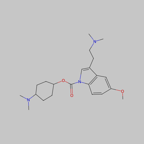 COc1ccc2c(c1)c(CCN(C)C)cn2C(=O)OC1CCC(N(C)C)CC1